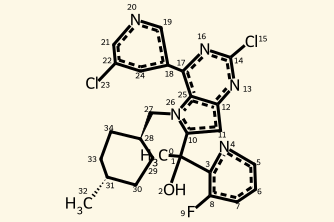 CC(O)(c1ncccc1F)c1cc2nc(Cl)nc(-c3cncc(Cl)c3)c2n1C[C@H]1CC[C@H](C)CC1